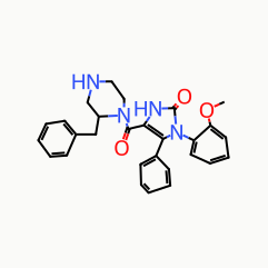 COc1ccccc1-n1c(-c2ccccc2)c(C(=O)N2CCNCC2Cc2ccccc2)[nH]c1=O